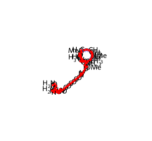 CO[C@H]1C[C@@H]2CC[C@@H](C)[C@@](O)(O2)C(=O)C(=O)N2CCCC[C@H]2C(=O)O[C@H]([C@H](N)C[C@@H]2CC[C@@H](OCCCCc3cn(CCOCCOCCOCCOCCOCCOCCC(=O)N4CCc5cc(Cn6nc(-c7ccc8oc(N)nc8c7)c7c(N)ncnc76)ccc5C4)nn3)[C@H](OC)C2)CC(=O)[C@H](C)/C=C(\C)[C@@H](O)[C@@H](OC)C(=O)[C@H](C)C[C@H](C)/C=C/C=C/C=C/1C